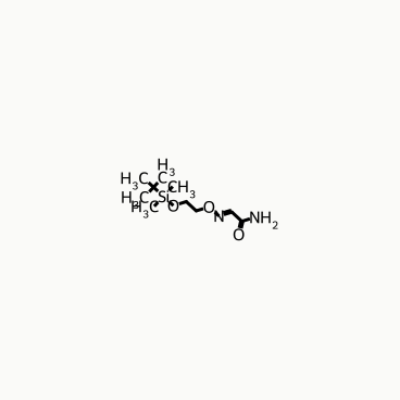 CC(C)(C)[Si](C)(C)OCCON=CC(N)=O